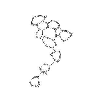 c1ccc(-c2ncc(-c3cccc(-c4cccc(-n5c6ccccc6c6ccc7c8nccnc8c8ccccc8c7c65)c4)c3)cn2)cc1